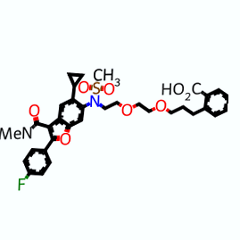 CNC(=O)c1c(-c2ccc(F)cc2)oc2cc(N(CCOCCOCCCc3ccccc3C(=O)O)S(C)(=O)=O)c(C3CC3)cc12